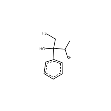 CC(S)C(O)(CS)c1ccccc1